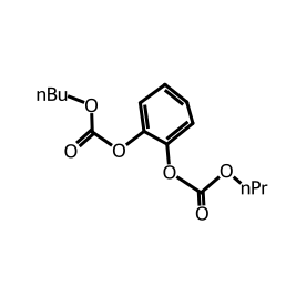 CCCCOC(=O)Oc1ccccc1OC(=O)OCCC